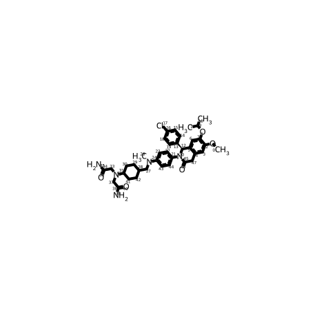 COc1cc2c(cc1OC(C)C)[C@H](c1ccc(Cl)cc1)N(c1ccc(N(C)CC3CCC(N(CC(N)=O)CC(N)=O)CC3)cc1)C(=O)C2